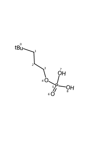 CC(C)(C)CCCOP(=O)(O)O